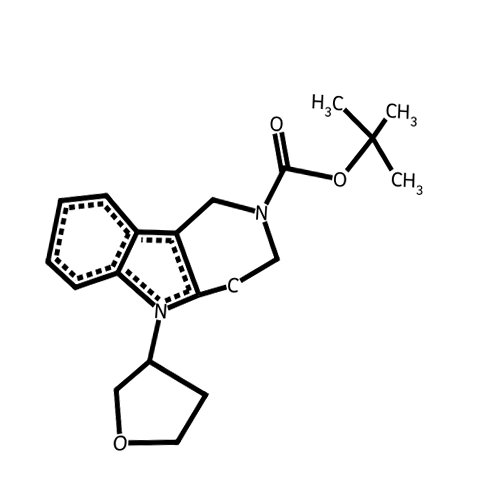 CC(C)(C)OC(=O)N1CCc2c(c3ccccc3n2C2CCOC2)C1